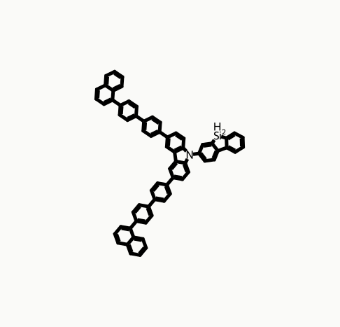 c1ccc2c(c1)[SiH2]c1cc(-n3c4ccc(-c5ccc(-c6ccc(-c7cccc8ccccc78)cc6)cc5)cc4c4cc(-c5ccc(-c6ccc(-c7cccc8ccccc78)cc6)cc5)ccc43)ccc1-2